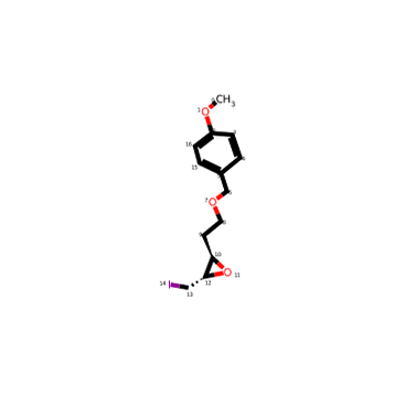 COc1ccc(COCC[C@H]2O[C@@H]2CI)cc1